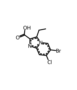 CCc1c(C(=O)O)nc2cc(Cl)c(Br)cn12